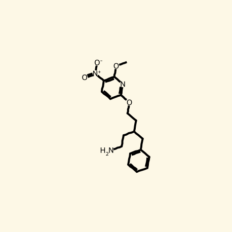 COc1nc(OCCC(CCN)Cc2ccccc2)ccc1[N+](=O)[O-]